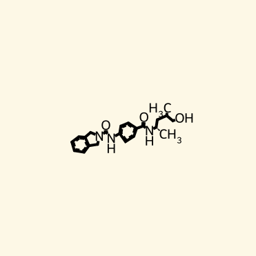 CC(CO)C[C@H](C)NC(=O)c1ccc(NC(=O)N2Cc3ccccc3C2)cc1